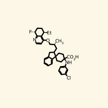 CC[C@@H]1CC[C@@H](F)c2nccc(OC[C@H](C)CC3Cc4ccccc4C34CCC(Nc3cccc(Cl)c3)(C(=O)O)CC4)c21